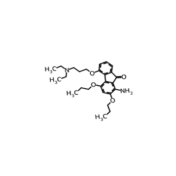 CCCOc1cc(OCCC)c2c(c1N)C(=O)c1cccc(OCCCN(CC)CC)c1-2